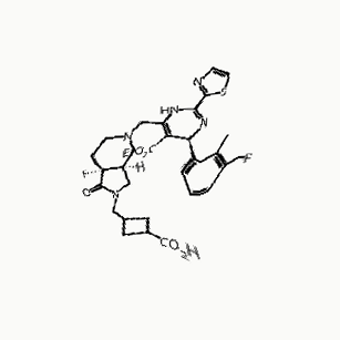 CCOC(=O)C1=C(CN2CC[C@]3(F)C(=O)N(CC4CC(C(=O)O)C4)C[C@@H]3C2)NC(c2nccs2)=N[C@H]1c1cccc(F)c1C